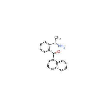 CC(N)c1ccccc1C(=O)c1cccc2ccccc12